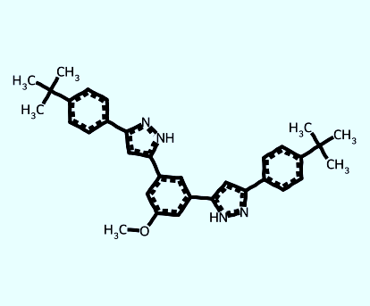 COc1cc(-c2cc(-c3ccc(C(C)(C)C)cc3)n[nH]2)cc(-c2cc(-c3ccc(C(C)(C)C)cc3)n[nH]2)c1